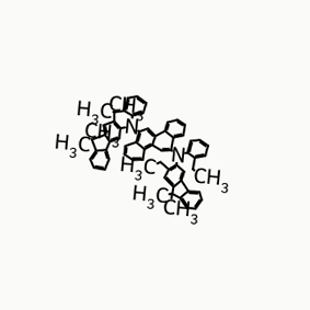 CCc1ccccc1N(c1cc2c(cc1CC)C(C)(C)c1ccccc1-2)c1cc2c3ccccc3c(N3c4ccccc4C(C)(C)c4cc5c(cc43)-c3ccccc3C5(C)C)cc2c2ccccc12